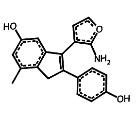 Cc1cc(O)cc2c1CC(c1ccc(O)cc1)=C2c1ccoc1N